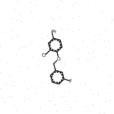 CC(C)c1ccc(OCc2cccc(F)c2)c(Cl)c1